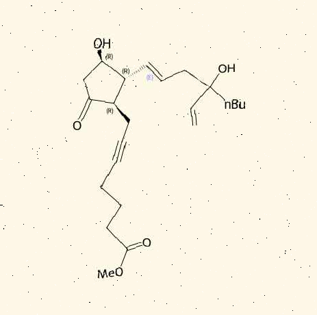 C=CC(O)(C/C=C/[C@H]1[C@H](O)CC(=O)[C@@H]1CC#CCCCC(=O)OC)CCCC